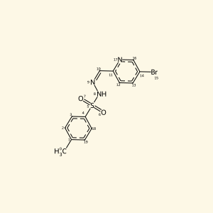 Cc1ccc(S(=O)(=O)N/N=C\c2ccc(Br)cn2)cc1